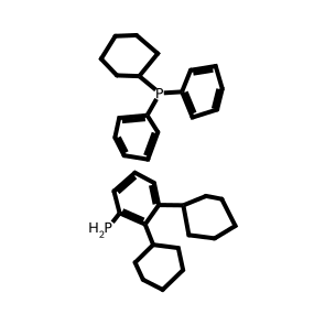 Pc1cccc(C2CCCCC2)c1C1CCCCC1.c1ccc(P(c2ccccc2)C2CCCCC2)cc1